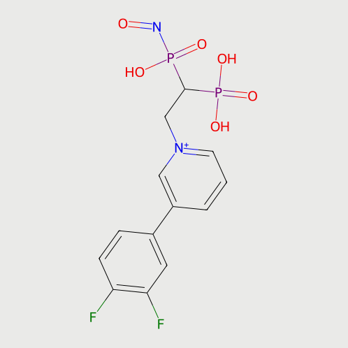 O=NP(=O)(O)C(C[n+]1cccc(-c2ccc(F)c(F)c2)c1)P(=O)(O)O